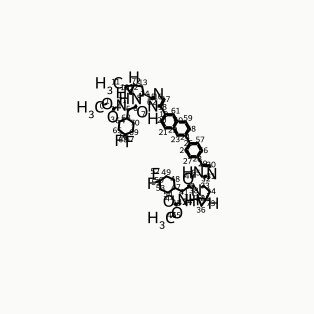 COC(=O)N[C@H](C(=O)N1[C@@H]2[C@H](C)[C@@H]2C[C@H]1c1ncc(-c2ccc3cc(-c4ccc(-c5cnc([C@@H]6C[C@H]7C[C@H]7N6C(=O)[C@@H](NC(=O)OC)C6CCC(F)(F)CC6)[nH]5)cc4)ccc3c2)[nH]1)C1CCC(F)(F)CC1